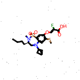 CCCC[C@@H]1CN(C23CC(C2)C3)c2cc(SC)c(O/C=C(\F)C(=O)O)cc2S(=O)(=O)N1C